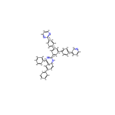 c1ccc(-c2ccc3nc(-c4cc(-c5ccc(-c6cccnc6)cc5)cc(-c5ccc(-c6ncccn6)cc5)c4)nc(-c4ccccc4)c3c2)cc1